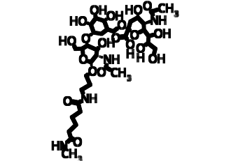 CNC(=O)CCCCC(=O)NCCCO[C@@H]1OC(CO)[C@@H](O[C@@H]2CC(CO[C@]3(C(=O)O)C[C@@H](O)[C@@H](NC(C)=O)C(C(O)C(O)CO)O3)[C@H](O)C(O)[C@@H]2O)C(O)[C@@H]1NC(C)=O